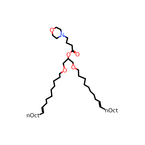 CCCCCCCCC=CCCCCCCCCOCC(COCCCCCCCCC=CCCCCCCCC)OC(=O)CCCN1CCOCC1